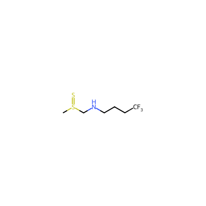 CS(=S)CNCCCC(F)(F)F